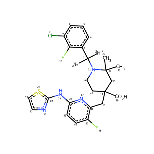 [2H]C([2H])(c1cccc(Cl)c1F)N1CCC(Cc2nc(Nc3nccs3)ccc2F)(C(=O)O)CC1(C)C